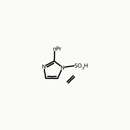 C=C.CCCc1nccn1S(=O)(=O)O